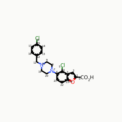 O=C(O)c1cc2c(Cl)c(N3CCN(Cc4ccc(Cl)cc4)CC3)ccc2o1